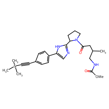 COC(=O)NCC(C)CC(=O)N1CCCC1c1ncc(-c2ccc(C#C[Si](C)(C)C)cc2)[nH]1